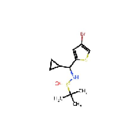 CC(C)(C)[S@+]([O-])N[C@H](c1cc(Br)cs1)C1CC1